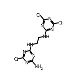 Nc1nc(Cl)nc(NCCNc2nc(Cl)nc(Cl)n2)n1